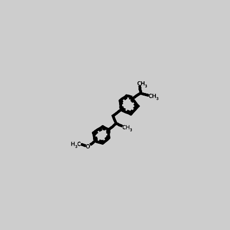 COc1ccc(C(C)Cc2ccc(C(C)C)cc2)cc1